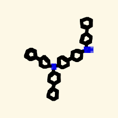 C1=CC(C2C=CC(NC3=CC=C(C4=CC=C(N(C5=CCC(C6=CCCC=C6)C=C5)C5C=CC(c6ccccc6)=CC5)CC4)CC3)=CC2)=CCC1